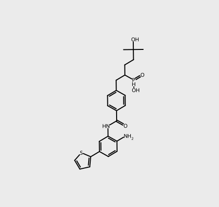 CC(C)(O)CCC(Cc1ccc(C(=O)Nc2cc(-c3cccs3)ccc2N)cc1)[PH](=O)O